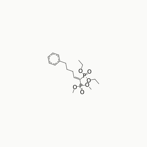 CCOP(=O)(OCC)C(=CCCCc1ccccc1)P(=O)(OC)OC